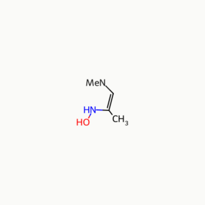 CN/C=C(/C)NO